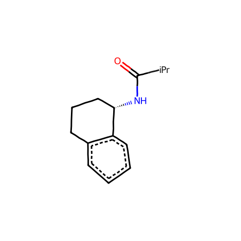 CC(C)C(=O)N[C@H]1CCCc2ccccc21